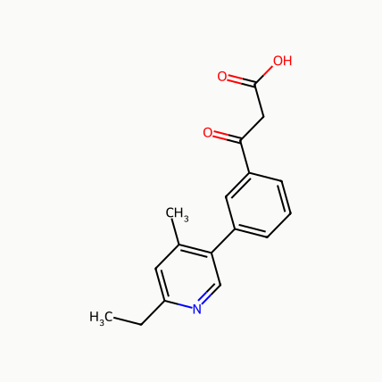 CCc1cc(C)c(-c2cccc(C(=O)CC(=O)O)c2)cn1